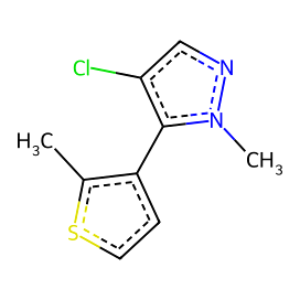 Cc1sccc1-c1c(Cl)cnn1C